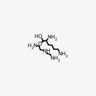 NCCCCC(N)C(=O)O.NCCNCCN